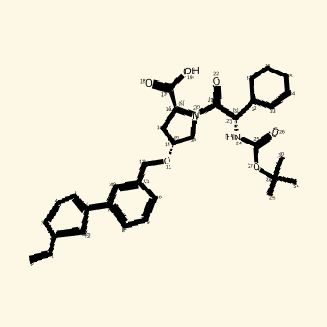 C=Cc1cccc(-c2cccc(CO[C@@H]3C[C@@H](C(=O)O)N(C(=O)[C@@H](NC(=O)OC(C)(C)C)C4CCCCC4)C3)c2)c1